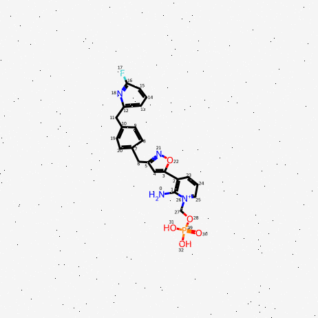 Nc1c(-c2cc(Cc3ccc(Cc4cccc(F)n4)cc3)no2)ccc[n+]1COP(=O)(O)O